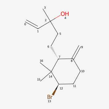 C=CC(C)(O)CC[C@@H]1C(=C)CC[C@@H](Br)C1(C)C